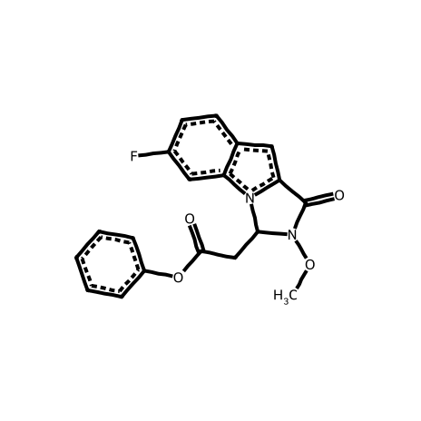 CON1C(=O)c2cc3ccc(F)cc3n2C1CC(=O)Oc1ccccc1